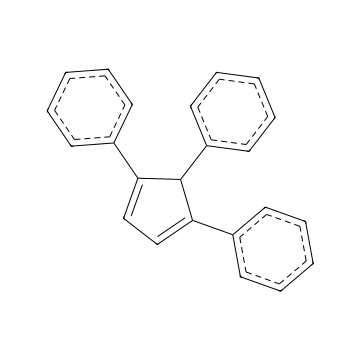 C1=C(c2ccccc2)C(c2ccccc2)C(c2ccccc2)=C1